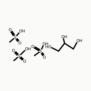 CS(=O)(=O)O.CS(=O)(=O)O.CS(=O)(=O)O.OCC(O)CO